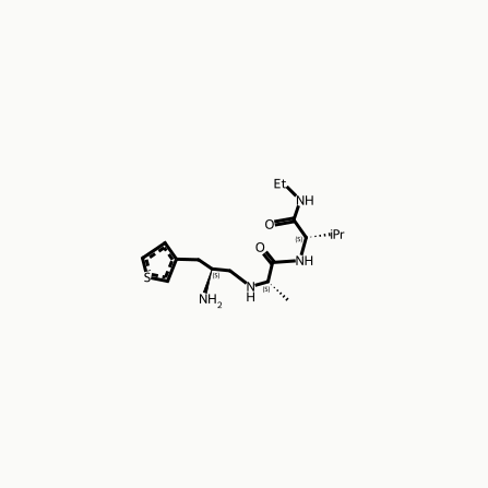 CCNC(=O)[C@@H](NC(=O)[C@H](C)NC[C@@H](N)Cc1ccsc1)C(C)C